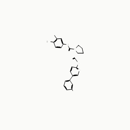 Cc1cc(NC(=O)N2CCC[C@@H]2C(=O)Nc2ccc(-c3cccc(C(=O)O)c3)cn2)ccc1C(C)C